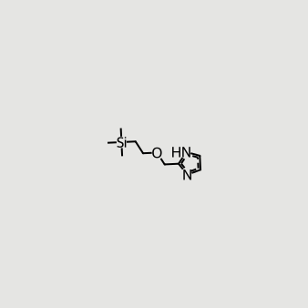 C[Si](C)(C)CCOCc1ncc[nH]1